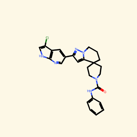 O=C(Nc1ccccc1)N1CCC2(CCCn3nc(-c4cnc5[nH]cc(Cl)c5c4)cc32)CC1